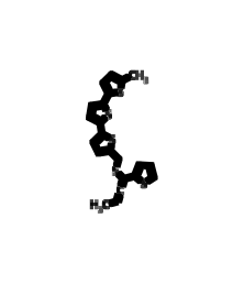 CC=C=C(SCc1ccc(C2=C=C=C(c3ccc(C)s3)S2)s1)c1cccs1